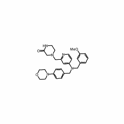 COc1cccc(CN(Cc2ccc(N3CCOCC3)cc2)c2ccnc(CN3CCNC(=O)C3)c2)c1